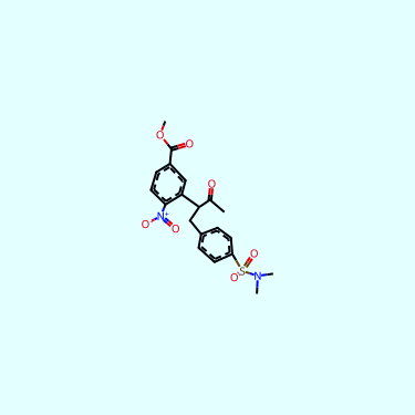 COC(=O)c1ccc([N+](=O)[O-])c(C(Cc2ccc(S(=O)(=O)N(C)C)cc2)C(C)=O)c1